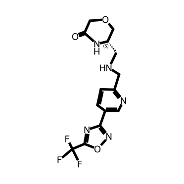 O=C1COC[C@H](CNCc2ccc(-c3noc(C(F)(F)F)n3)cn2)N1